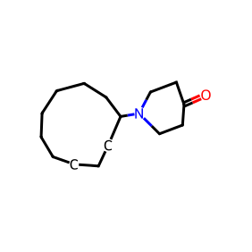 O=C1CCN(C2CCCCCCCCC2)CC1